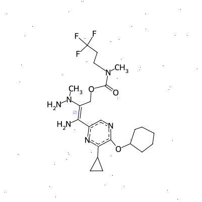 CN(CCC(F)(F)F)C(=O)OC/C(=C(/N)c1cnc(OC2CCCCC2)c(C2CC2)n1)N(C)N